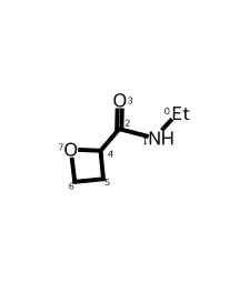 CCNC(=O)C1CCO1